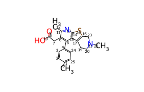 Cc1ccc(-c2c(CC(=O)O)c(C)nc3sc4c(c23)CCN(C)C4)cc1